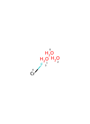 O.O.O.[F][Cr]